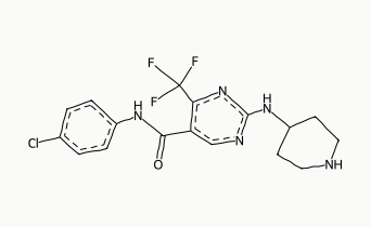 O=C(Nc1ccc(Cl)cc1)c1cnc(NC2CCNCC2)nc1C(F)(F)F